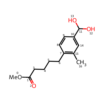 COC(=O)CCCCc1ccc(C(O)O)cc1C